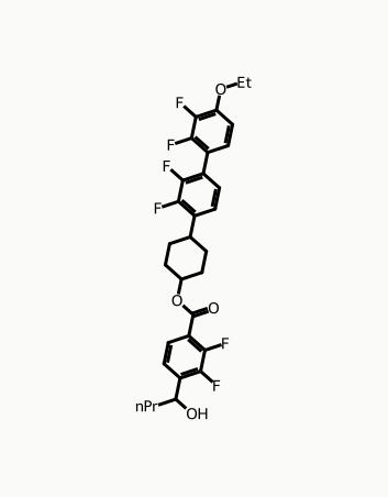 CCCC(O)c1ccc(C(=O)OC2CCC(c3ccc(-c4ccc(OCC)c(F)c4F)c(F)c3F)CC2)c(F)c1F